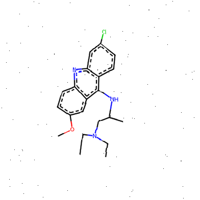 CCN(CC)CC(C)Nc1c2ccc(Cl)cc2nc2ccc(OC)cc12